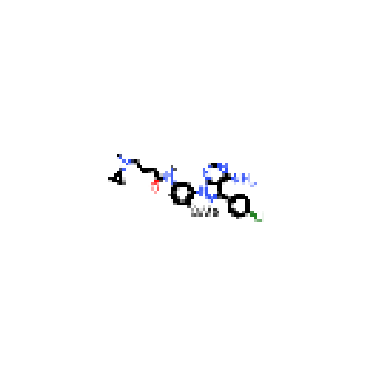 COc1ccc(N(C)C(=O)/C=C/CN(C)C2CC2)cc1-n1nc(-c2ccc(Cl)cc2)c2c(N)ncnc21